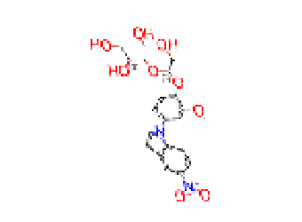 COc1cc(-n2ccc3cc([N+](=O)[O-])ccc32)ccc1O[C@H](CO)OC(CO)[C@@H](O)CO